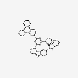 c1ccc(-c2nc(-c3ccc4c5ccccc5c5ccccc5c4c3)nc(-c3cccc4oc5ccc(-c6nc7ccccc7s6)cc5c34)n2)cc1